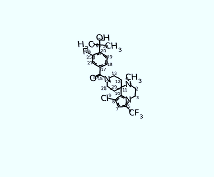 CN1CCn2c(C(F)(F)F)cc(Cl)c2C12CCN(C(=O)c1ccc(C(C)(C)O)c(F)c1)CC2